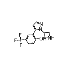 Oc1ccc(C(F)(F)F)cc1-c1ccnn1C1CNC1